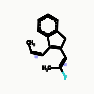 C/C=C\C1=C(/C=C(\C)F)Cc2ccccc21